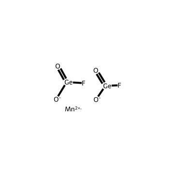 [Mn+2].[O]=[Ge]([O-])[F].[O]=[Ge]([O-])[F]